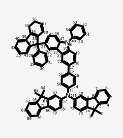 CC1(C)c2ccccc2-c2cc(N(c3ccc(-c4ccc5c(c4)c4cc(C6(c7ccccc7)C7=C(CCC=C7)c7ccccc76)ccc4n5-c4ccccc4)cc3)c3ccc4c(c3)C(C)(C)c3ccccc3-4)ccc21